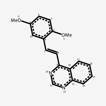 COc1ccc(OC)c(/C=C/c2ncnc3ccccc23)c1